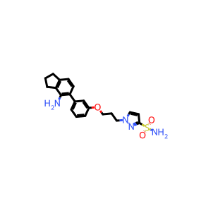 Nc1c(-c2cccc(OCCCn3ccc(S(N)(=O)=O)n3)c2)ccc2c1CCC2